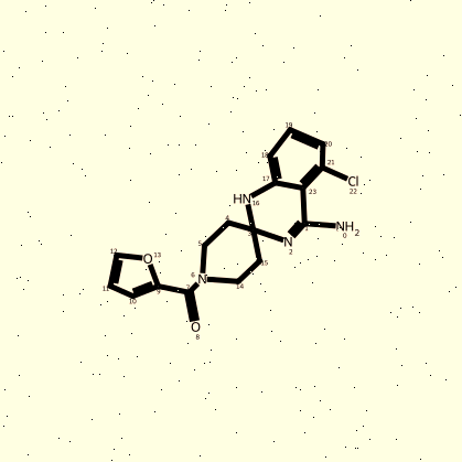 NC1=NC2(CCN(C(=O)c3ccco3)CC2)Nc2cccc(Cl)c21